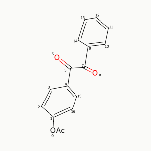 CC(=O)Oc1ccc(C(=O)C(=O)c2ccccc2)cc1